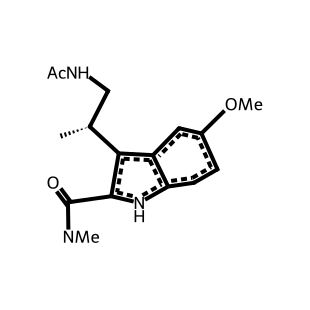 CNC(=O)c1[nH]c2ccc(OC)cc2c1[C@H](C)CNC(C)=O